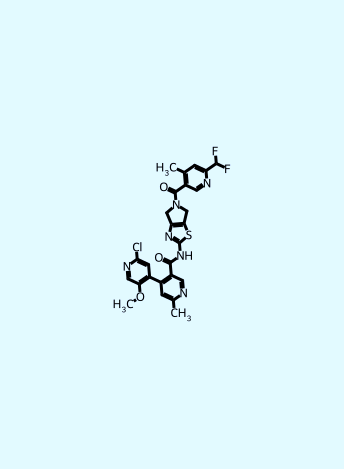 COc1cnc(Cl)cc1-c1cc(C)ncc1C(=O)Nc1nc2c(s1)CN(C(=O)c1cnc(C(F)F)cc1C)C2